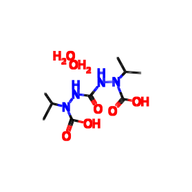 CC(C)N(NC(=O)NN(C(=O)O)C(C)C)C(=O)O.O.O